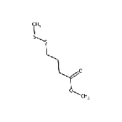 COC(=O)CCCSSC